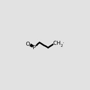 [CH2]CCP=O